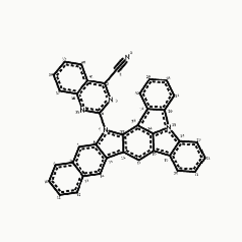 N#Cc1nc(-n2c3cc4ccccc4cc3c3cc4c5ccccc5n5c6ccccc6c(c32)c45)nc2ccccc12